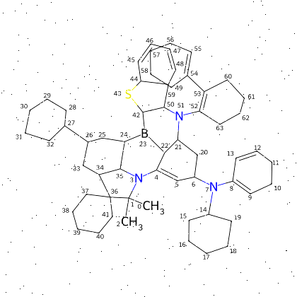 CC1(C)N2C3=CC(N(C4=CCCC=C4)C4CCCCC4)CC4C3B(C3CC(C5CCCCC5)CC(C32)C12CCCCC2)C1SC2C=CC=CC2C1N4C1=C(C2=CCCCC2)CCCC1